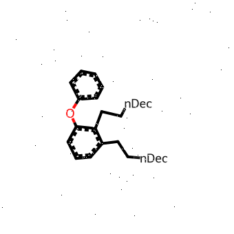 CCCCCCCCCCCCc1cccc(Oc2ccccc2)c1CCCCCCCCCCCC